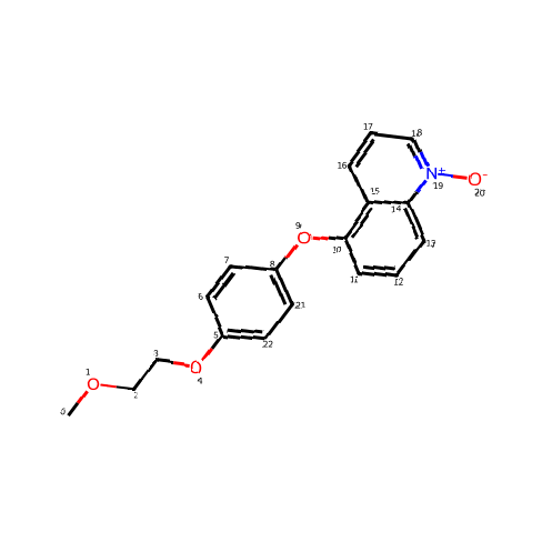 COCCOc1ccc(Oc2cccc3c2ccc[n+]3[O-])cc1